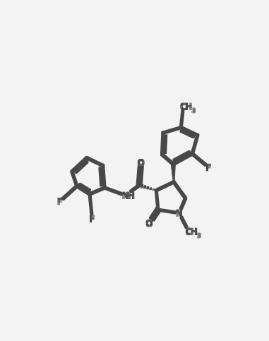 Cc1ccc([C@H]2CN(C)C(=O)[C@@H]2C(=O)Nc2cccc(F)c2F)c(F)c1